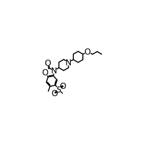 CCCOC1CCC(N2CCC(n3c(=O)oc4cc(C)c(S(C)(=O)=O)cc43)CC2)CC1